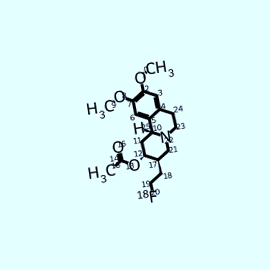 COc1cc2c(cc1OC)[C@H]1C[C@@H](OC(C)=O)[C@H](CC[18F])CN1CC2